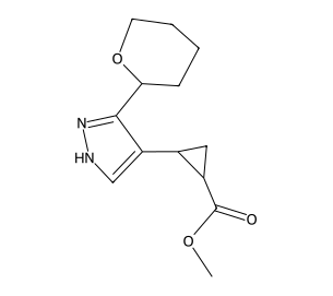 COC(=O)C1CC1c1c[nH]nc1C1CCCCO1